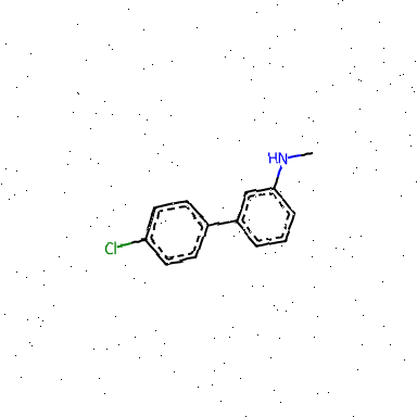 CNc1cccc(-c2ccc(Cl)cc2)c1